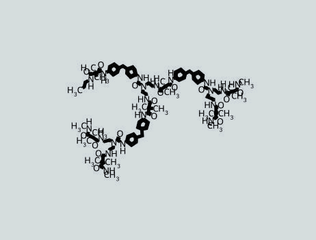 CCCNC(=O)C(C)(C)C(=O)Nc1ccc(Cc2ccc(NC(=O)N(CCNC(=O)C(C)(C)C(=O)Nc3ccc(Cc4ccc(NC(=O)N(CCNC(=O)C(C)(C)C(=O)NC)CCNC(=O)C(C)(C)C(=O)NC)cc4)cc3)CCNC(=O)C(C)(C)C(=O)Nc3ccc(Cc4ccc(NC(=O)N(CCNC(=O)C(C)(C)C(=O)NC)CCNC(=O)C(C)(C)C(=O)NC)cc4)cc3)cc2)cc1